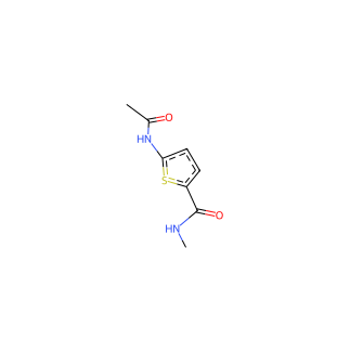 CNC(=O)c1ccc(NC(C)=O)s1